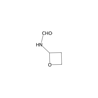 O=[C]NC1CCO1